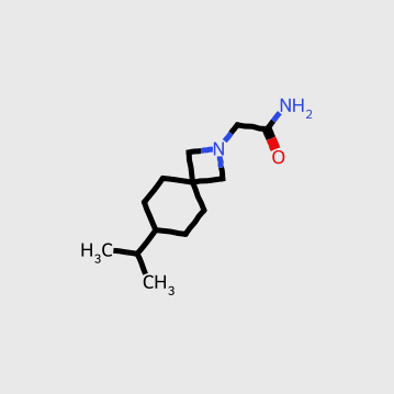 CC(C)C1CCC2(CC1)CN(CC(N)=O)C2